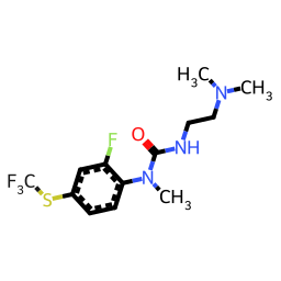 CN(C)CCNC(=O)N(C)c1ccc(SC(F)(F)F)cc1F